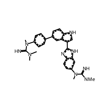 CNC(=N)N(C)c1ccc2nc(-c3c[nH]c4ccc(-c5ccc(N(C)C(=N)N(C)C)cc5)cc34)[nH]c2c1